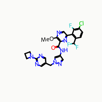 COc1ncc(-c2c(C(F)F)ccc(Cl)c2F)nc1C(=O)Nc1cnn(Cc2cnc(N3CCC3)nc2)c1